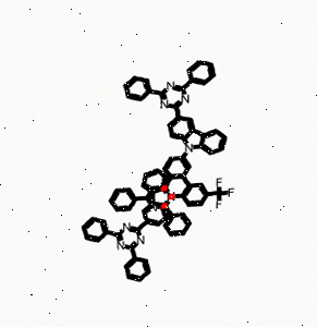 FC(F)(F)c1ccc(-n2c3ccccc3c3cc(-c4nc(-c5ccccc5)nc(-c5ccccc5)n4)ccc32)c(-c2cc(-n3c4ccccc4c4cc(-c5nc(-c6ccccc6)nc(-c6ccccc6)n5)ccc43)ccc2-c2cc(-c3ccccc3)nc(-c3ccccc3)n2)c1